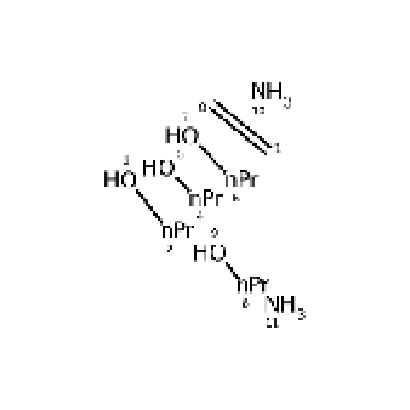 C=C.CCCO.CCCO.CCCO.CCCO.N.N